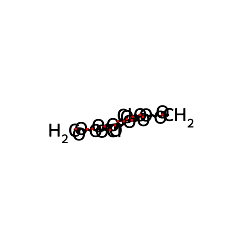 C=CC(=O)OCCCCOC(=O)Oc1ccc(OC(=O)c2ccc(C(=O)Oc3ccc(OC(=O)OCCCCOC(=O)C=C)cc3Cl)cc2)c(Cl)c1